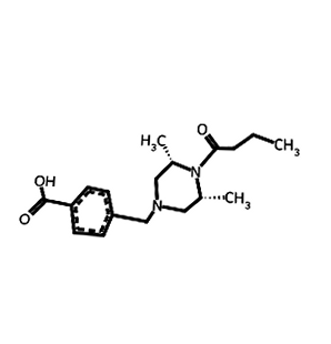 CCCC(=O)N1[C@H](C)CN(Cc2ccc(C(=O)O)cc2)C[C@@H]1C